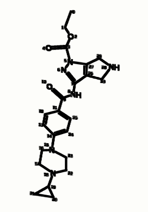 CCOC(=O)n1nc(NC(=O)c2ccc(N3CCN(C4CC4)CC3)cc2)c2c1CNC2